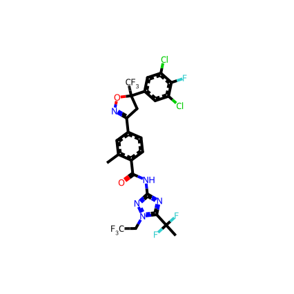 Cc1cc(C2=NOC(c3cc(Cl)c(F)c(Cl)c3)(C(F)(F)F)C2)ccc1C(=O)Nc1nc(C(C)(F)F)n(CC(F)(F)F)n1